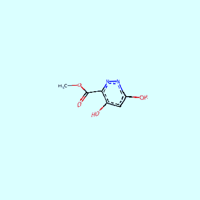 COC(=O)c1nnc(O)cc1O